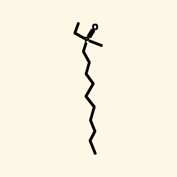 CCCCCCCCCCP(C)(=O)CC